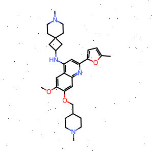 COc1cc2c(NC3CC4(CCN(C)CC4)C3)cc(-c3ccc(C)o3)nc2cc1OCC1CCN(C)CC1